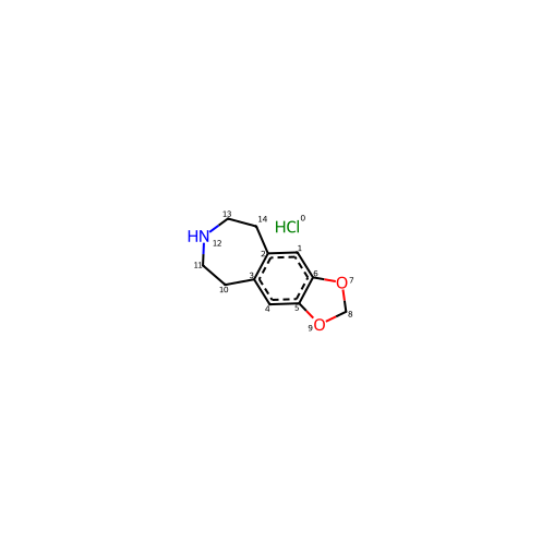 Cl.c1c2c(cc3c1OCO3)CCNCC2